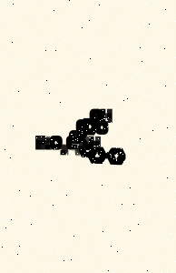 CCOC(=O)C[C@@H](Cc1ccc(-c2ccccc2)cc1)NC(=O)c1cc(=O)c(O)co1